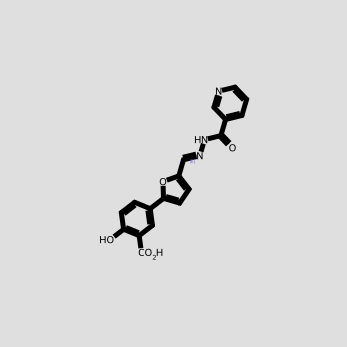 O=C(N/N=C/c1ccc(-c2ccc(O)c(C(=O)O)c2)o1)c1cccnc1